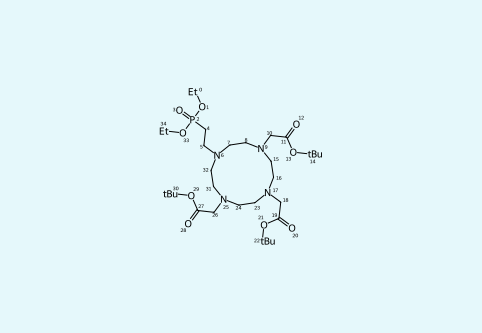 CCOP(=O)(CCN1CCN(CC(=O)OC(C)(C)C)CCN(CC(=O)OC(C)(C)C)CCN(CC(=O)OC(C)(C)C)CC1)OCC